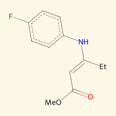 CCC(=CC(=O)OC)Nc1ccc(F)cc1